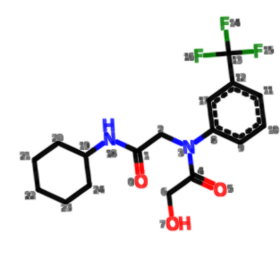 O=C(CN(C(=O)CO)c1cccc(C(F)(F)F)c1)NC1CCCCC1